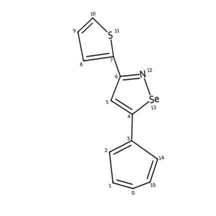 c1ccc(-c2cc(-c3cccs3)n[se]2)cc1